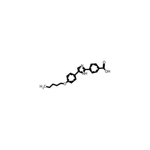 CCCCCOc1ccc(-c2cnc(-c3ccc(C(=O)O)cc3)[nH]2)cc1